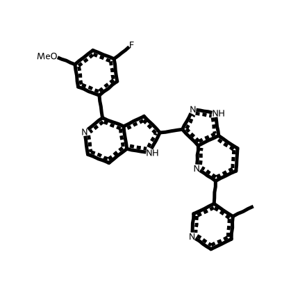 COc1cc(F)cc(-c2nccc3[nH]c(-c4n[nH]c5ccc(-c6cnccc6C)nc45)cc23)c1